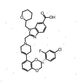 O=C(O)c1ccc2nc(CN3CC=C(c4cccc5c4O[C@H](c4ccc(Cl)cc4F)CO5)CC3)n(CC3CCCCO3)c2c1